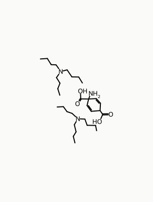 CCCCN(CCCC)CCCC.CCCCN(CCCC)CCCC.NC1(C(=O)O)C=CC(C(=O)O)C=C1